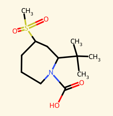 CC(C)(C)C1CC(S(C)(=O)=O)CCCN1C(=O)O